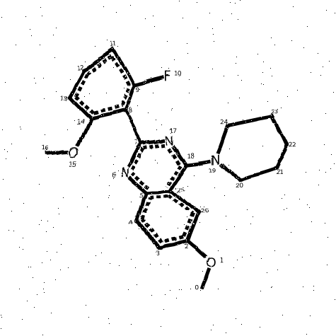 COc1ccc2nc(-c3c(F)cccc3OC)nc(N3CCCCC3)c2c1